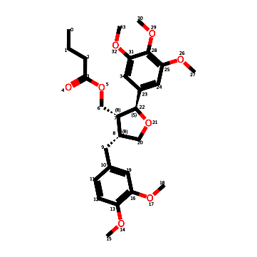 CCCC(=O)OC[C@H]1[C@@H](Cc2ccc(OC)c(OC)c2)CO[C@@H]1c1cc(OC)c(OC)c(OC)c1